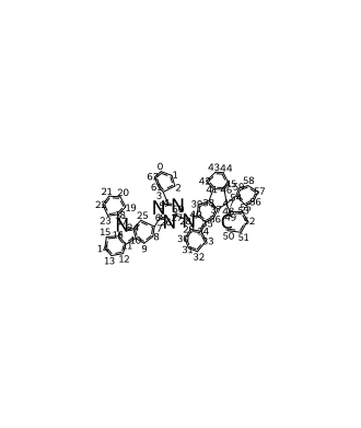 c1ccc(-c2nc(-c3ccc4c5ccccc5n(-c5ccccc5)c4c3)nc(-n3c4ccccc4c4cc5c(cc43)-c3ccccc3C5(c3ccccc3)c3ccccc3)n2)cc1